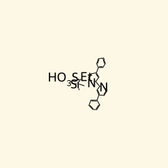 CCC([Si](C)(C)C)S(=O)(=O)O.c1ccc(-c2ccnc(-c3cc(-c4ccccc4)ccn3)c2)cc1